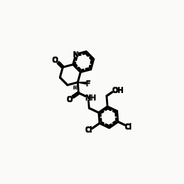 O=C1CC[C@@](F)(C(=O)NCc2c(Cl)cc(Cl)cc2CO)c2cccnc21